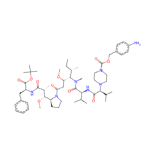 CC[C@H](C)[C@@H](C(CC(=O)N1CCC[C@H]1[C@H](OC)[C@@H](C)C(=O)N[C@@H](Cc1ccccc1)C(=O)OC(C)(C)C)OC)N(C)C(=O)[C@@H](NC(=O)[C@H](C(C)C)N1CCN(C(=O)OCc2ccc(N)cc2)CC1)C(C)C